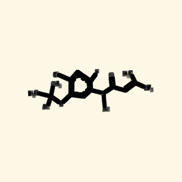 CC(=O)N(C(=O)/C=C(\C)C(F)(F)F)c1cc(SC(C)(C)C(C)=O)c(Cl)cc1F